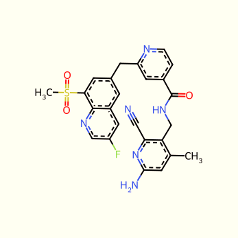 Cc1cc(N)nc(C#N)c1CNC(=O)c1ccnc(Cc2cc(S(C)(=O)=O)c3ncc(F)cc3c2)c1